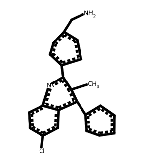 Cc1c(-c2ccc(CN)cc2)nc2ccc(Cl)cc2c1-c1ccccc1